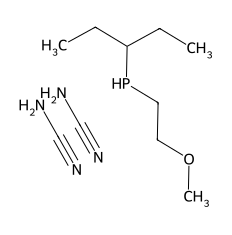 CCC(CC)PCCOC.N#CN.N#CN